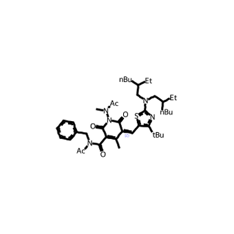 CCCCC(CC)CN(CC(CC)CCCC)c1nc(C(C)(C)C)c(/C=C2\C(=O)N(N(C)C(C)=O)C(=O)C(C(=O)N(Cc3ccccc3)C(C)=O)=C2C)s1